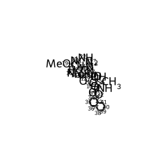 CCCCOC(=O)[C@H](C)NP(=O)(OC[C@H]1O[C@@H](n2cnc3c(OC)nc(N)nc32)[C@](C)(N=[N+]=[N-])[C@@H]1O)Oc1cccc2ccccc12